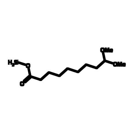 COC(CCCCCCCC(=O)O[SiH3])OC